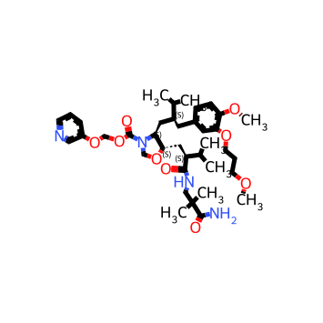 COCCCOc1cc(C[C@@H](C[C@H]2[C@H](C[C@H](C(=O)NCC(C)(C)C(N)=O)C(C)C)OCN2C(=O)OCOc2cccnc2)C(C)C)ccc1OC